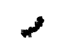 CS(=O)(=O)c1cccc(C(=O)Nc2ccc(CN3CCN(c4nccc(Nc5cc(C6CC6)[nH]n5)n4)CC3)cc2)c1